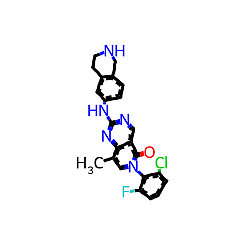 Cc1cn(-c2c(F)cccc2Cl)c(=O)c2cnc(Nc3ccc4c(c3)CCNC4)nc12